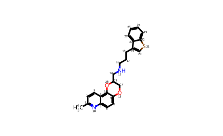 Cc1ccc2c3c(ccc2n1)OCC(CNCCCc1csc2ccccc12)O3